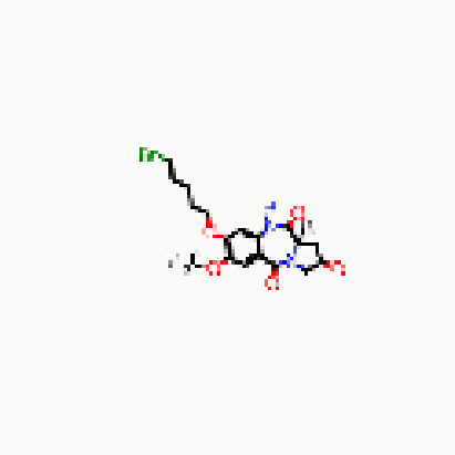 COc1cc2c(cc1OCCCCCBr)NC(=O)[C@@H]1CC(=O)CN1C2=O